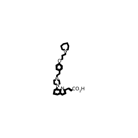 O=C(O)C=Cc1ccc2cccc(N3CCN(CCc4ccc(OCCCN5CCCCCC5)cc4)CC3)c2n1